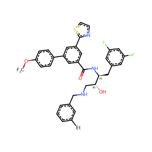 CCc1cccc(CNC[C@@H](O)[C@H](Cc2cc(F)cc(F)c2)NC(=O)c2cc(-c3ccc(OC(F)(F)F)cc3)cc(-c3nccs3)c2)c1